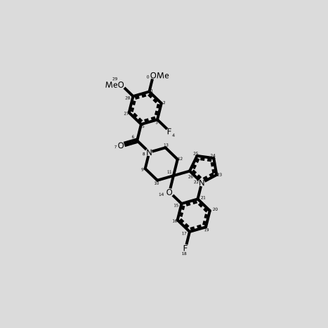 COc1cc(F)c(C(=O)N2CCC3(CC2)Oc2cc(F)ccc2-n2cccc23)cc1OC